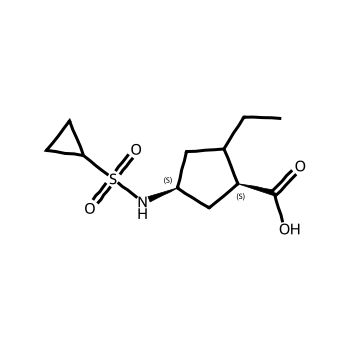 CCC1C[C@H](NS(=O)(=O)C2CC2)C[C@@H]1C(=O)O